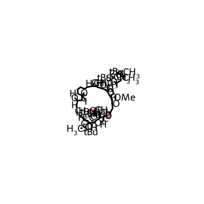 C=C1[C@H](C)CC2CC[C@@H]3O[C@@H](CCC/C=C/C(O[Si](C)(C)C(C)(C)C)[C@@H]4O[C@H]5CCC(CC(=O)C[C@H]6C(C[C@H]1O)O[C@H](CC(CO[Si](C)(C)C(C)(C)C)O[Si](C)(C)C(C)(C)C)[C@@H]6OC)O[C@@H]5C(O[Si](C)(C)C(C)(C)C)C4O[Si](C)(C)C(C)(C)C)CC3(CI)O2